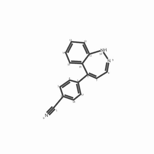 N#Cc1ccc(C2=CC=NNc3ccccc32)cc1